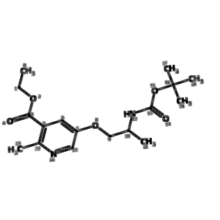 CCOC(=O)c1cc(OCC(C)NC(=O)OC(C)(C)C)cnc1C